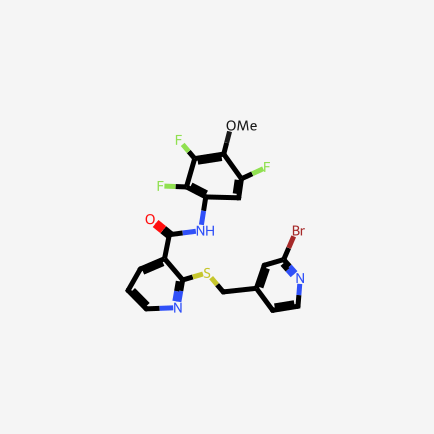 COc1c(F)cc(NC(=O)c2cccnc2SCc2ccnc(Br)c2)c(F)c1F